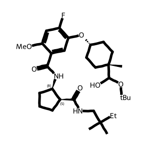 CCC(C)(C)CNC(=O)[C@H]1CCC[C@H]1NC(=O)c1cc(O[C@H]2CC[C@@](C)(C(O)OC(C)(C)C)CC2)c(F)cc1OC